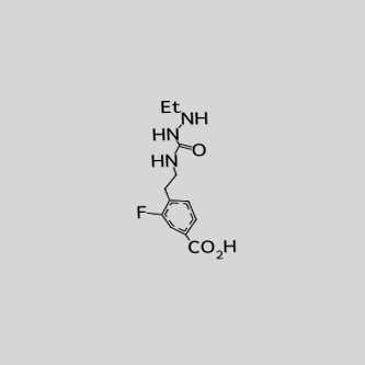 CCNNC(=O)NCCc1ccc(C(=O)O)cc1F